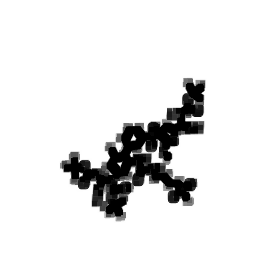 CSc1sc(C(=N)NC(=O)OC(C)(C)C)cc1S(=O)(=O)c1cccc(-c2c(C)cc(N(C(=O)OC(C)(C)C)C(N)=NC(=O)OC(C)(C)C)cc2NC(=O)NCCCCS(C)(=O)=O)c1